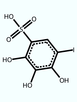 O=S(=O)(O)c1cc(I)c(O)c(O)c1O